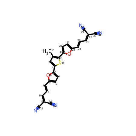 Cc1cc(-c2ccc(/C=C/C=C(C#N)C#N)o2)sc1-c1ccc(/C=C/C=C(C#N)C#N)o1